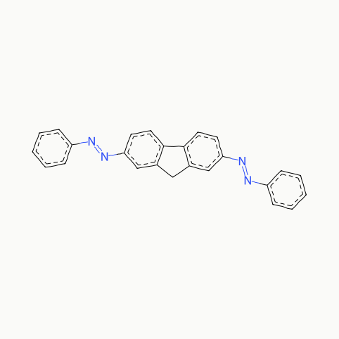 c1ccc(N=Nc2ccc3c(c2)Cc2cc(N=Nc4ccccc4)ccc2-3)cc1